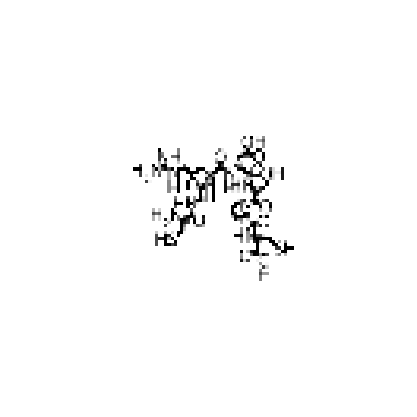 N=C(N)NCCC[C@H](NC(=O)CNC(=O)[C@H](N)CS)C(=O)N[C@@H](CC(=O)O)C(=O)N[C@@H](CO)C(=O)N1CCC[C@H]1C(=O)N[C@@H](CS)C(=O)O